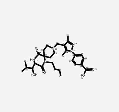 CCCCN1C(=O)C(C(O)C(C)C)NC(=O)C12CCN(Cc1c(C)nn(-c3ccc(C(=O)O)cc3)c1C)CC2